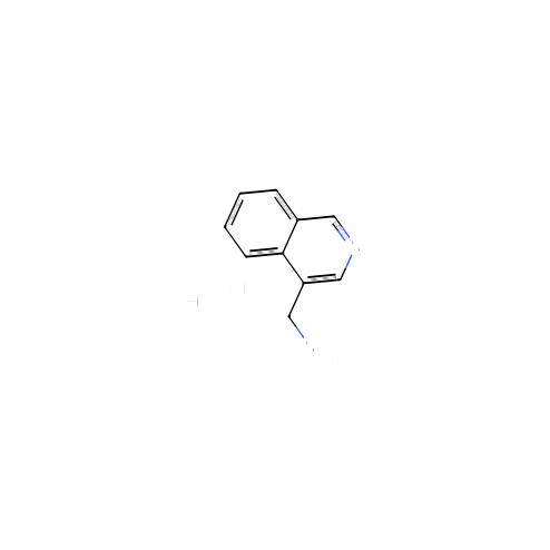 Cl.Cl.NCc1cncc2ccccc12